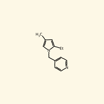 CCc1cc(C)cn1Cc1ccncc1